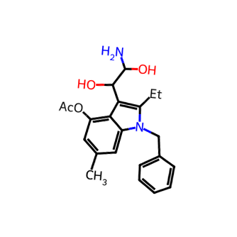 CCc1c(C(O)C(N)O)c2c(OC(C)=O)cc(C)cc2n1Cc1ccccc1